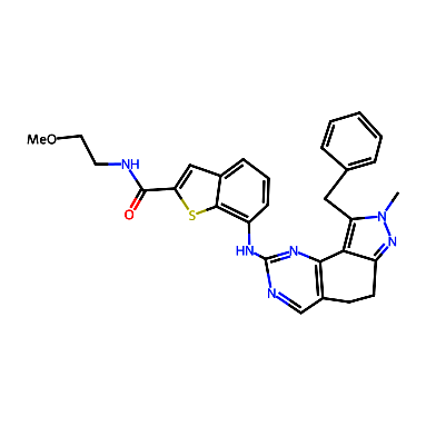 COCCNC(=O)c1cc2cccc(Nc3ncc4c(n3)-c3c(nn(C)c3Cc3ccccc3)CC4)c2s1